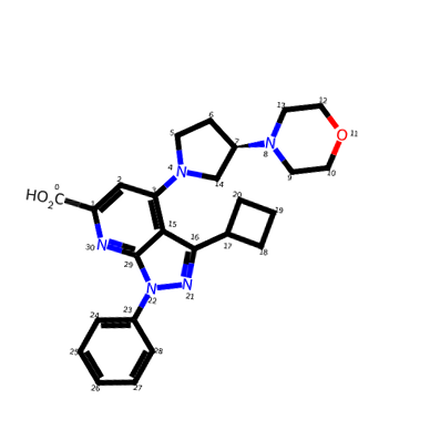 O=C(O)c1cc(N2CC[C@@H](N3CCOCC3)C2)c2c(C3CCC3)nn(-c3ccccc3)c2n1